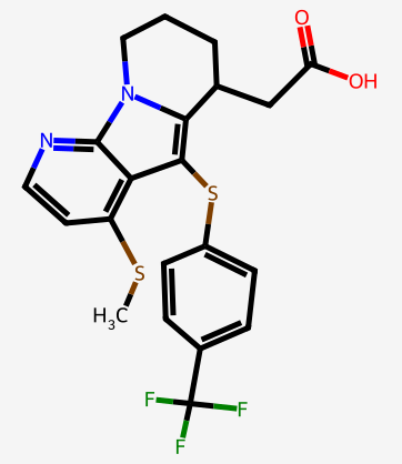 CSc1ccnc2c1c(Sc1ccc(C(F)(F)F)cc1)c1n2CCCC1CC(=O)O